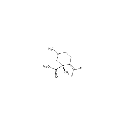 COC(=O)[C@]1(C)CN(C)CCC1=C(F)F